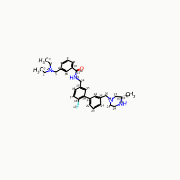 CCN(CC)Cc1cccc(C(=O)NCc2ccc(F)c(-c3cccc(CN4CCN[C@@H](C)C4)c3)c2)c1